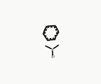 CCN(C)C.c1ccccc1